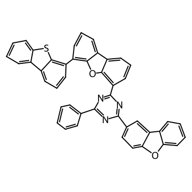 c1ccc(-c2nc(-c3ccc4oc5ccccc5c4c3)nc(-c3cccc4c3oc3c(-c5cccc6c5sc5ccccc56)cccc34)n2)cc1